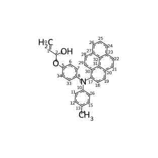 C=CC(O)Oc1ccc(N(c2ccc(C)cc2)c2ccc3ccc4cccc5ccc2c3c45)cc1